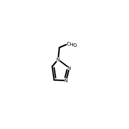 O=CCn1ccnn1